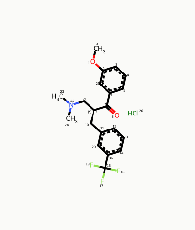 COc1cccc(C(=O)[C@@H](Cc2cccc(C(F)(F)F)c2)CN(C)C)c1.Cl